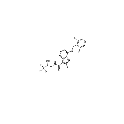 Cc1nc2c(OCc3c(F)cccc3F)cccn2c1C(=O)NCC(O)C(F)(F)F